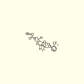 CC(C)(COc1ncccc1C(F)(F)F)NC(=O)[C@H]1[C@@H]2CN(C(=O)OC(C)(C)C)C[C@@H]21